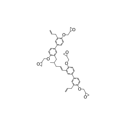 C=CCc1cc(-c2ccc(OCC3CO3)c(/C=C/CC(C)Cc3cc(-c4ccc(OCC5CO5)c(CC=C)c4)ccc3OCC3CO3)c2)ccc1OCC1CO1